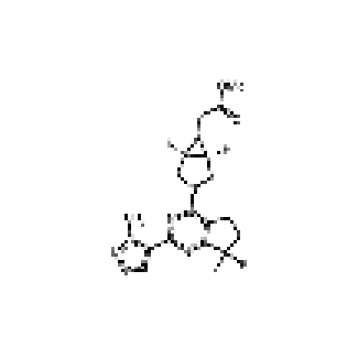 COC(=O)C[C@@H]1[C@H]2CN(c3nc(-c4cnnn4C)nc4c3CCC4(F)F)C[C@@H]12